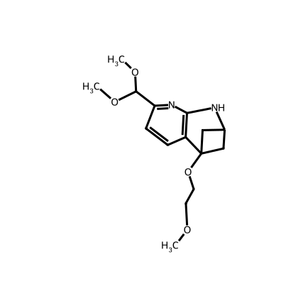 COCCOC12CC(C1)Nc1nc(C(OC)OC)ccc12